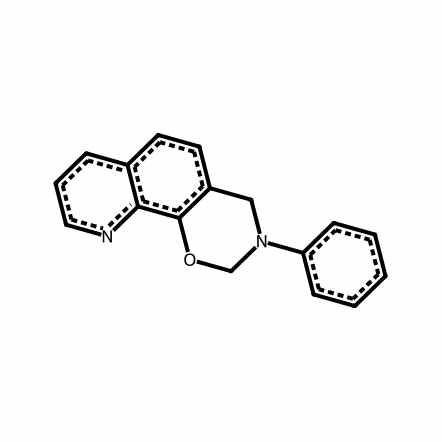 c1ccc(N2COc3c(ccc4cccnc34)C2)cc1